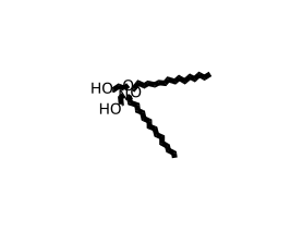 CCCCCCCCCCCCCCCCOC(CCO)N(CCO)C(=O)CCCCCCCCCCCCCCC